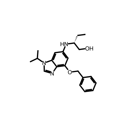 CC[C@H](CO)Nc1cc(OCc2ccccc2)c2ncn(C(C)C)c2c1